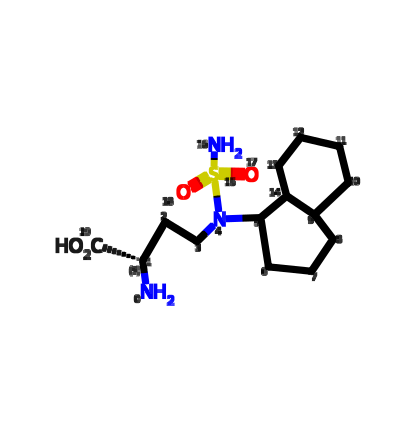 N[C@@H](CCN(C1CCCC2CCCCC21)S(N)(=O)=O)C(=O)O